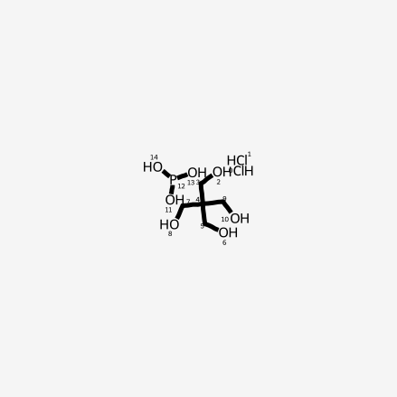 Cl.Cl.OCC(CO)(CO)CO.OP(O)O